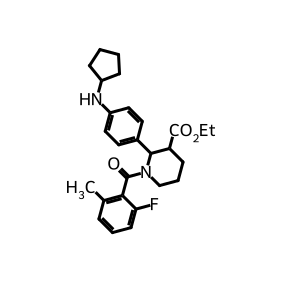 CCOC(=O)C1CCCN(C(=O)c2c(C)cccc2F)C1c1ccc(NC2CCCC2)cc1